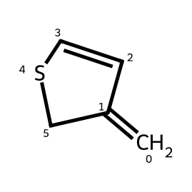 C=C1C=CSC1